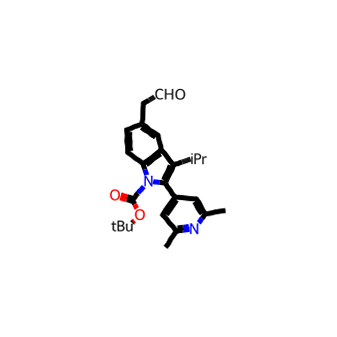 Cc1cc(-c2c(C(C)C)c3cc(CC=O)ccc3n2C(=O)OC(C)(C)C)cc(C)n1